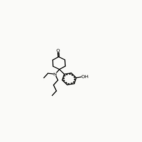 CCCCN(CC)C1(c2cccc(O)c2)CCC(=O)CC1